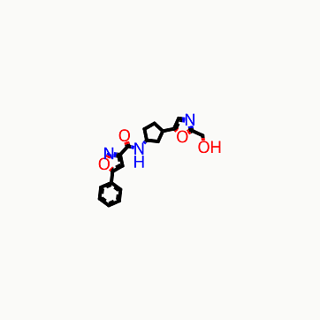 O=C(NC1CCC(c2cnc(CO)o2)C1)c1cc(-c2ccccc2)on1